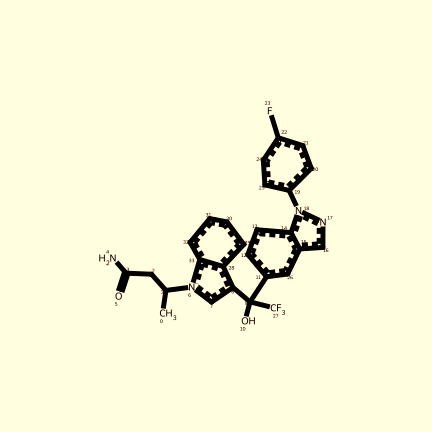 CC(CC(N)=O)n1cc(C(O)(c2ccc3c(cnn3-c3ccc(F)cc3)c2)C(F)(F)F)c2ccccc21